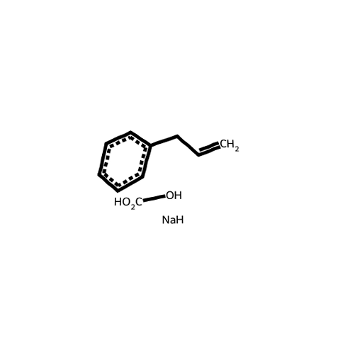 C=CCc1ccccc1.O=C(O)O.[NaH]